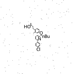 C=C(O)CCc1ccc(OC(CCCC)c2cccc(-c3ccc(Cl)cc3)n2)cc1C